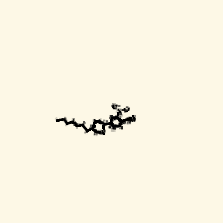 CCCCCCCc1ccc(-c2ccc(C#N)c([N+](=O)[O-])c2)nc1